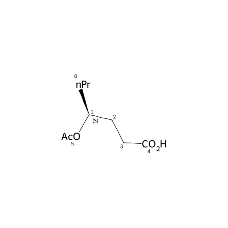 CCC[C@@H](CCC(=O)O)OC(C)=O